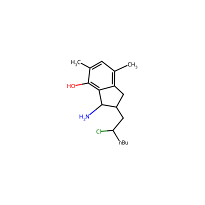 CCCCC(Cl)CC1Cc2c(C)cc(C)c(O)c2C1N